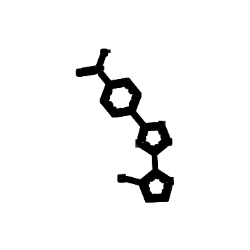 O=[N+]([O-])c1ccc(-c2noc(-c3sccc3Cl)n2)cc1